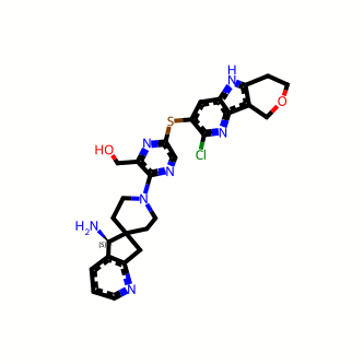 N[C@@H]1c2cccnc2CC12CCN(c1ncc(Sc3cc4[nH]c5c(c4nc3Cl)COCC5)nc1CO)CC2